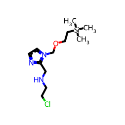 C[Si](C)(C)CCOCn1ccnc1CNCCCl